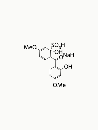 COC1=CC(O)(S(=O)(=O)O)C(C(=O)c2ccc(OC)cc2O)C=C1.[NaH]